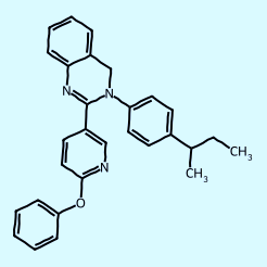 CCC(C)c1ccc(N2Cc3ccccc3N=C2c2ccc(Oc3ccccc3)nc2)cc1